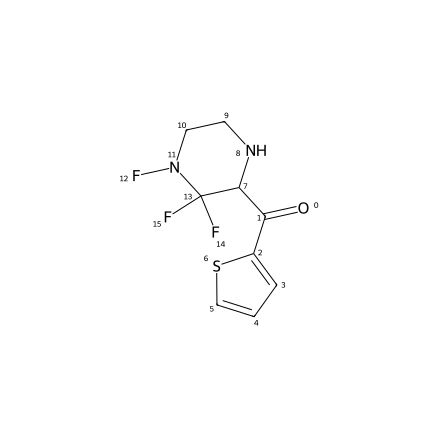 O=C(c1cccs1)C1NCCN(F)C1(F)F